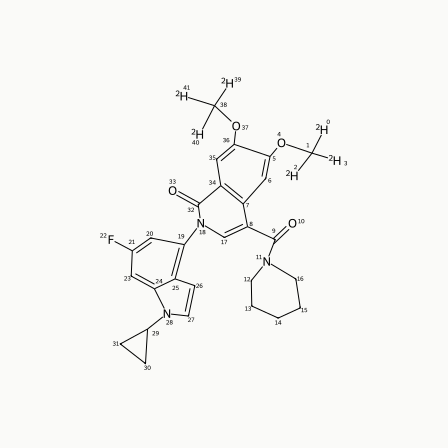 [2H]C([2H])([2H])Oc1cc2c(C(=O)N3CCCCC3)cn(-c3cc(F)cc4c3ccn4C3CC3)c(=O)c2cc1OC([2H])([2H])[2H]